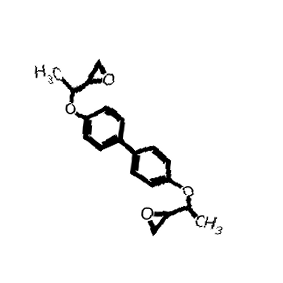 CC(Oc1ccc(-c2ccc(OC(C)C3CO3)cc2)cc1)C1CO1